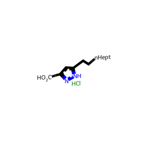 CCCCCCCCCc1cc(C(=O)O)n[nH]1.Cl